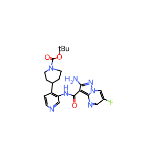 CC(C)(C)OC(=O)N1CCC(c2ccncc2NC(=O)c2c(N)nn3cc(F)cnc23)CC1